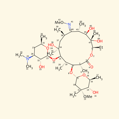 CC[C@H]1OC(=O)[C@H](C)[C@@H](O[C@H]2C[C@@](C)(OC)[C@@H](O)[C@H](C)O2)[C@H](C)[C@@H](O[C@@H]2O[C@H](C)C[C@H](N(C)C)[C@H]2O)[C@@](C)(O)C[C@@H](C)/C(=N\OC)[C@H](C)[C@@H](O)[C@]1(C)O